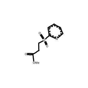 COC(=O)CCS(=O)(=O)c1ccccn1